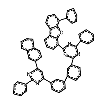 c1ccc(-c2nc(-c3cccc(-c4cccc(-c5nc(-c6ccccc6)nc(-c6cccc7c6oc6c(-c8ccccc8)cccc67)n5)c4)c3)cc(-c3ccc4ccccc4c3)n2)cc1